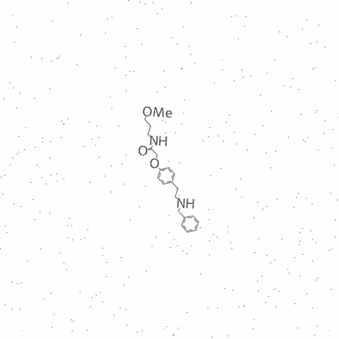 COCCCNC(=O)COc1ccc(CCNCc2ccccc2)cc1